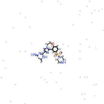 CC(C)N/C(=N\C=N)c1cn2c(n1)-c1cc(S(=O)(=O)N3CCNCC3)ccc1OCC2